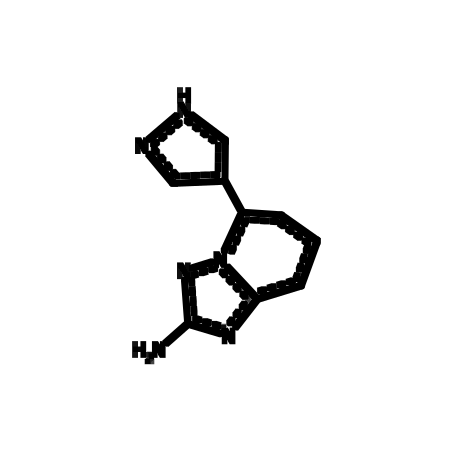 Nc1nc2cccc(-c3cn[nH]c3)n2n1